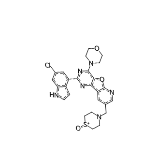 [O-][S+]1CCN(Cc2cnc3oc4c(N5CCOCC5)nc(-c5cc(Cl)cc6[nH]ccc56)nc4c3c2)CC1